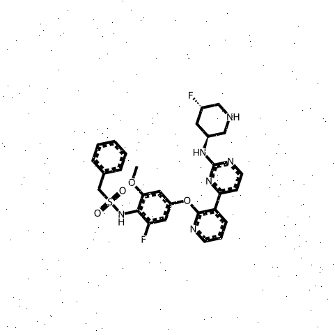 COc1cc(Oc2ncccc2-c2ccnc(N[C@@H]3CNC[C@@H](F)C3)n2)cc(F)c1NS(=O)(=O)Cc1ccccc1